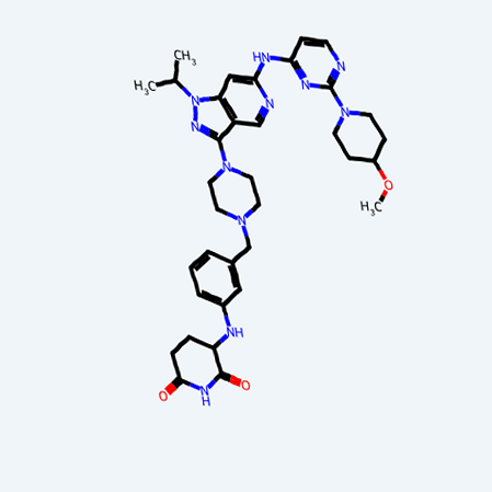 COC1CCN(c2nccc(Nc3cc4c(cn3)c(N3CCN(Cc5cccc(NC6CCC(=O)NC6=O)c5)CC3)nn4C(C)C)n2)CC1